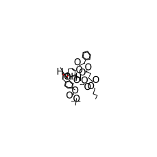 CCCCOC(=O)[C@H](CC(=O)O[C@H](C(=O)OC1=CC[C@@]2(O)[C@H]3Cc4ccc(OC(=O)OC(C)(C)C)c5c4[C@@]2(CCN3C)[C@H]1O5)c1ccccc1)OC(C)=O